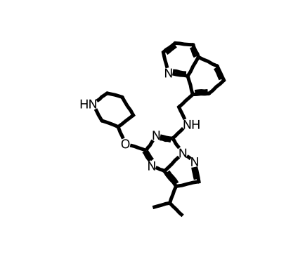 CC(C)c1cnn2c(NCc3cccc4cccnc34)nc(OC3CCCNC3)nc12